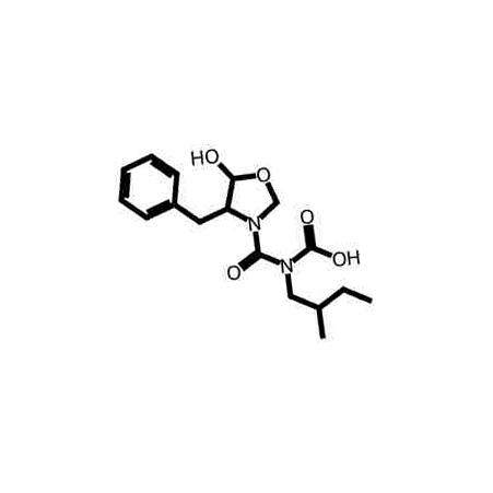 CCC(C)CN(C(=O)O)C(=O)N1COC(O)C1Cc1ccccc1